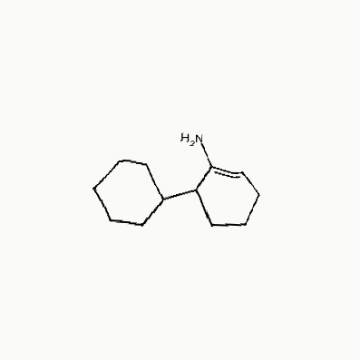 NC1=CCCCC1C1CCCCC1